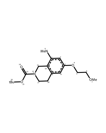 CNc1cc(OCCOC)cc2c1CN(C(=O)OC(C)(C)C)CC2